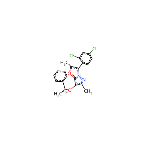 Cc1nn2c(-c3ccc(Cl)cc3Cl)c(C)oc2c1O[C@@H](C)c1ccccc1